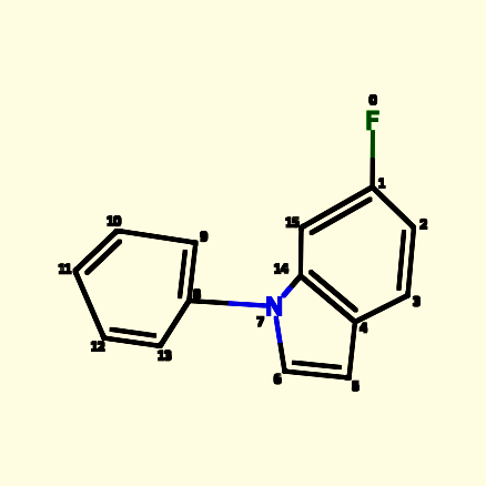 Fc1ccc2ccn(-c3ccccc3)c2c1